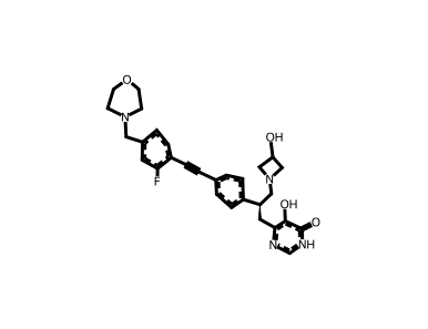 O=c1[nH]cnc(C[C@H](CN2CC(O)C2)c2ccc(C#Cc3ccc(CN4CCOCC4)cc3F)cc2)c1O